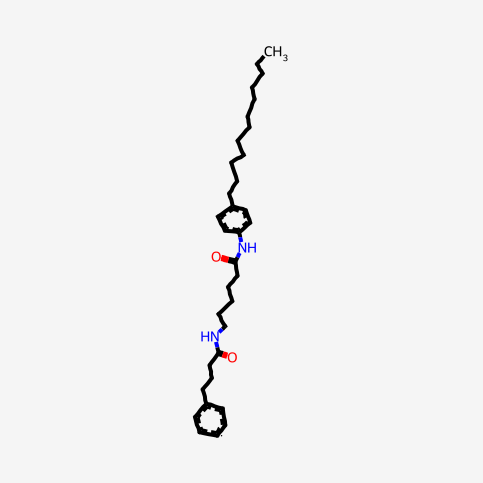 CCCCCCCCCCCCc1ccc(NC(=O)CCCCCNC(=O)CCCc2cc[c]cc2)cc1